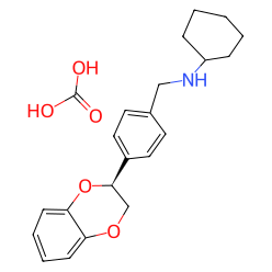 O=C(O)O.c1ccc2c(c1)OC[C@H](c1ccc(CNC3CCCCC3)cc1)O2